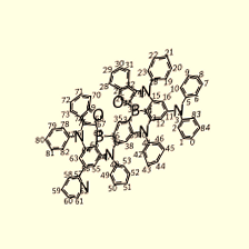 c1ccc(N(c2ccccc2)c2cc3c4c(c2)N(c2ccccc2)c2c(oc5ccccc25)B4c2cc4c(cc2N3c2ccccc2)N(c2ccccc2)c2cc(-c3ccccn3)cc3c2B4c2oc4ccccc4c2N3c2ccccc2)cc1